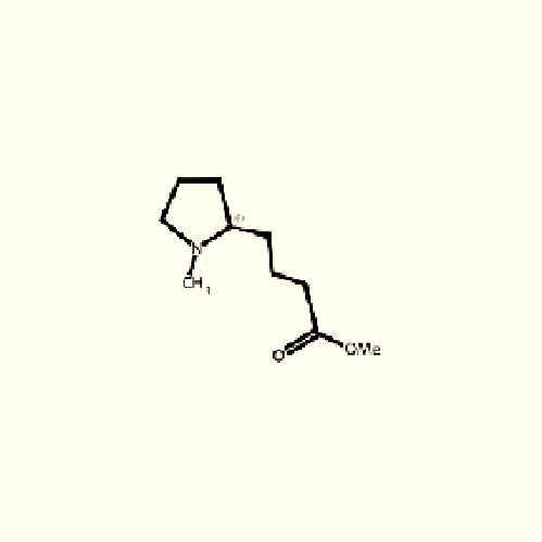 COC(=O)CCC[C@@H]1CCCN1C